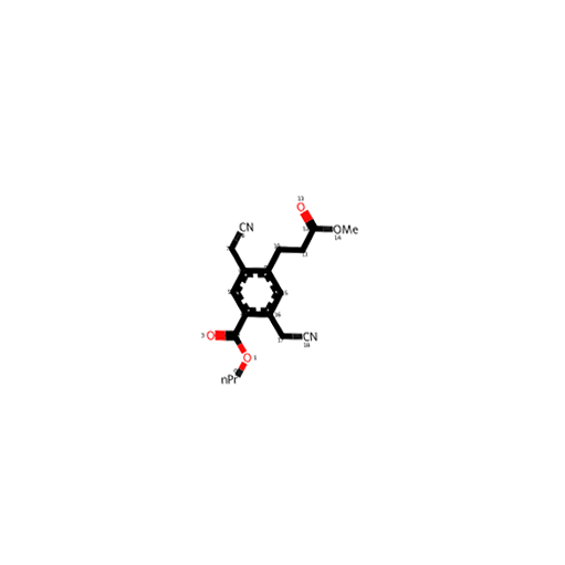 CCCOC(=O)c1cc(CC#N)c(CCC(=O)OC)cc1CC#N